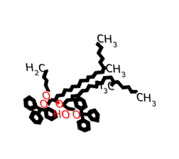 C=CCCCCOC(COC(c1ccccc1)(c1ccccc1)c1ccccc1)C(CCCCCCCCCCCCC(C)CCCCCC)OC(CCCCCCCCCCCCC(C)CCCCCC)C(O)COC(c1ccccc1)(c1ccccc1)c1ccccc1